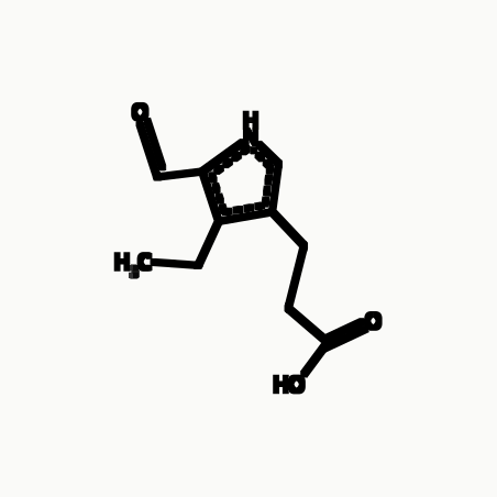 CCc1c(CCC(=O)O)c[nH]c1C=O